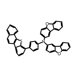 c1ccc2c(c1)ccc1c3cccc(-c4ccc(N(c5ccc6oc7ccccc7c6c5)c5ccc6oc7ccccc7c6c5)cc4)c3sc21